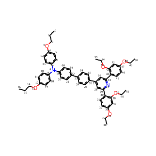 CCCOc1ccc(N(c2ccc(OCCC)cc2)c2ccc(-c3ccc(-c4cc(-c5ccc(OCC)cc5OCC)nc(-c5ccc(OCC)cc5OCC)c4)cc3)cc2)cc1